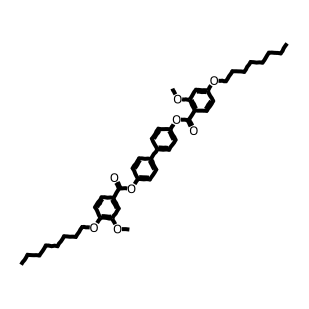 CCCCCCCCOc1ccc(C(=O)Oc2ccc(-c3ccc(OC(=O)c4ccc(OCCCCCCCC)c(OC)c4)cc3)cc2)c(OC)c1